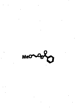 COCCOOC(=O)c1ccccc1